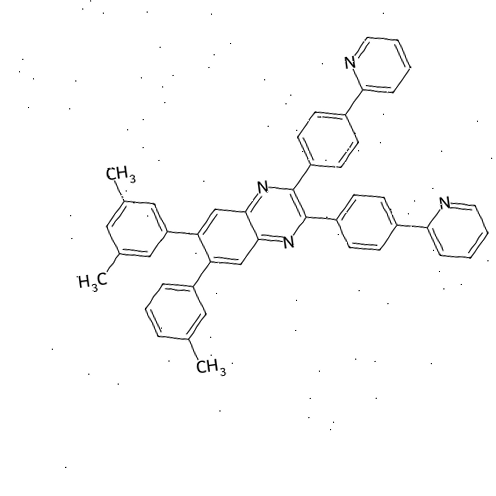 Cc1cccc(-c2cc3nc(-c4ccc(-c5ccccn5)cc4)c(-c4ccc(-c5ccccn5)cc4)nc3cc2-c2cc(C)cc(C)c2)c1